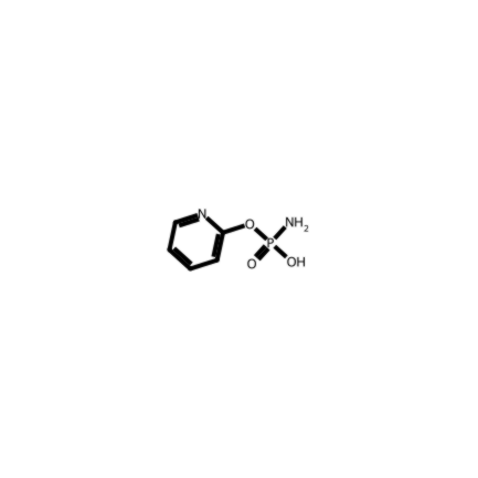 NP(=O)(O)Oc1ccccn1